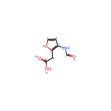 O=CNc1ccoc1CC(=O)O